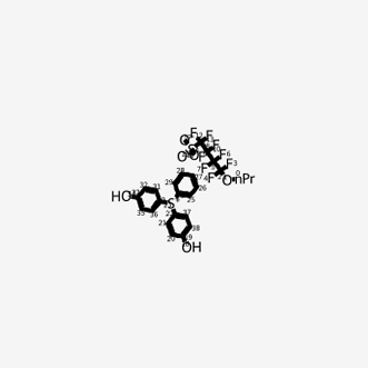 CCCOC(F)(F)C(F)(F)C(F)(F)C(F)(F)S(=O)(=O)[O-].Oc1ccc([S+](c2ccccc2)c2ccc(O)cc2)cc1